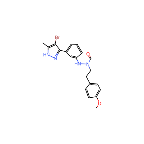 COc1ccc(CCN(C=O)Nc2cccc(-c3n[nH]c(C)c3Br)c2)cc1